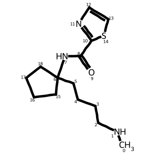 CNCCCCC1(NC(=O)c2nccs2)CCCC1